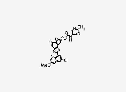 COc1cnc2c(-c3nc4cc(F)c5c(c4s3)C[C@H](COC(=O)Nc3cnc(C)nc3)O5)cc(Cl)cc2c1